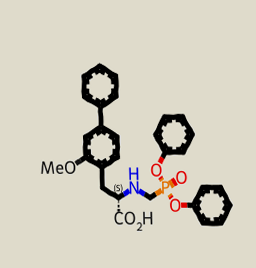 COc1cc(-c2ccccc2)ccc1C[C@H](NCP(=O)(Oc1ccccc1)Oc1ccccc1)C(=O)O